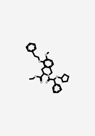 CCOC(=O)C1Cc2c(ccc(OC)c2OCCc2ccccc2)CN1C(=O)C(OC1CCCC1)c1ccccc1